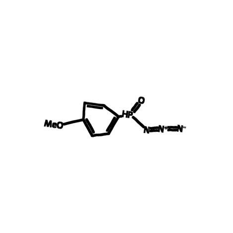 COc1ccc([PH](=O)N=[N+]=[N-])cc1